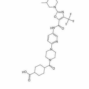 CC1CCCN(c2nc(C(F)(F)F)c(C(=O)Nc3ccc(N4CCN(C(=O)C5CCC(C(=O)O)CC5)CC4)nc3)o2)C1